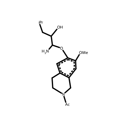 COc1cc2c(cc1OC(N)C(O)CC(C)C)CCN(C(C)=O)C2